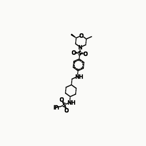 CC1CN(S(=O)(=O)c2ccc(NCC3CCC(NS(=O)(=O)C(C)C)CC3)cc2)C[C@@H](C)O1